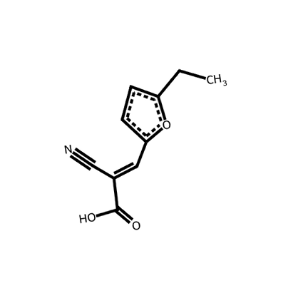 CCc1ccc(/C=C(\C#N)C(=O)O)o1